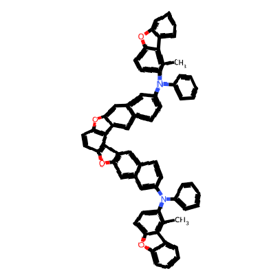 Cc1c(N(c2ccccc2)c2ccc3cc4c(cc3c2)oc2ccc3oc5cc6cc(N(c7ccccc7)c7ccc8oc9ccccc9c8c7C)ccc6cc5c3c24)ccc2oc3ccccc3c12